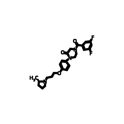 C[C@@H]1CCCN1CCCOc1ccc(N2CCN(C(=O)c3cc(F)cc(F)c3)CC2=O)cc1